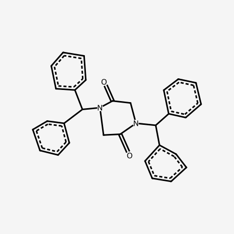 O=C1CN(C(c2ccccc2)c2ccccc2)C(=O)CN1C(c1ccccc1)c1ccccc1